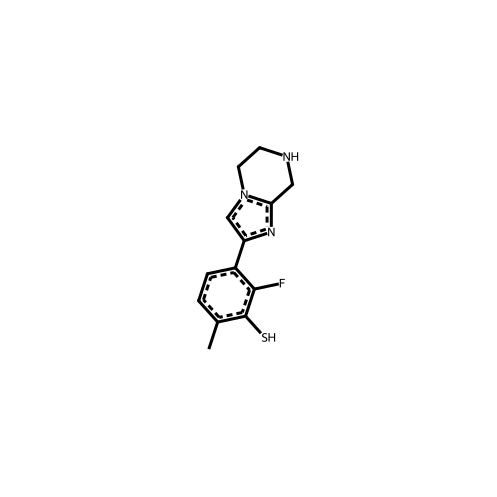 Cc1ccc(-c2cn3c(n2)CNCC3)c(F)c1S